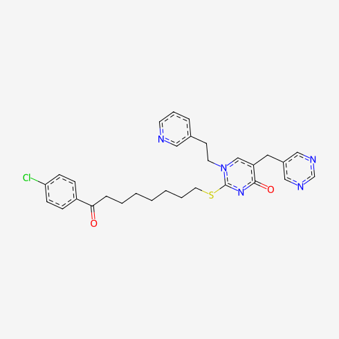 O=C(CCCCCCCSc1nc(=O)c(Cc2cncnc2)cn1CCc1cccnc1)c1ccc(Cl)cc1